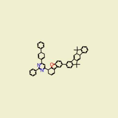 CC1(C)C2=CC3c4ccccc4C(C)(C)C3C=C2c2cc(-c3ccc4oc5c(c4c3)C=CCC5c3cc(C4=CCC(c5ccccc5)C=C4)nc(-c4ccccc4)n3)ccc21